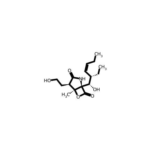 CC/C=C\[C@H](CC)[C@H](O)[C@@]12NC(=O)[C@H](CCO)[C@]1(C)OC2=O